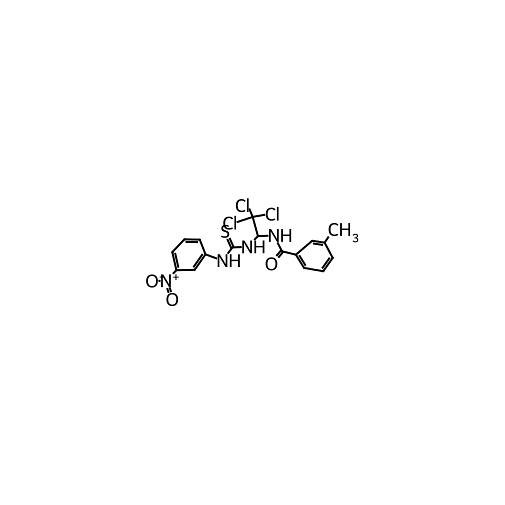 Cc1cccc(C(=O)NC(NC(=S)Nc2cccc([N+](=O)[O-])c2)C(Cl)(Cl)Cl)c1